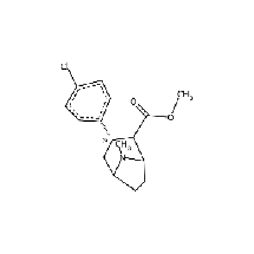 COC(=O)C1C2CCC(C[C@@H]1c1ccc(Cl)cc1)N2C